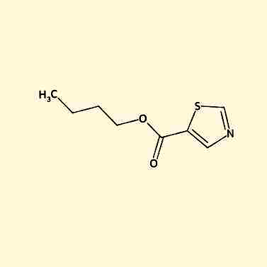 CCCCOC(=O)c1cncs1